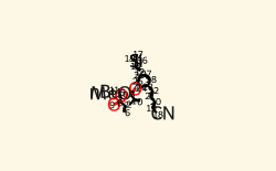 C=C(C)C(=O)OC.C=CC(=O)OCCCC.C=C[Si](C)(C)C.N#CC=CC=Cc1ccccc1